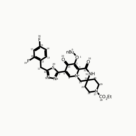 CCCCOc1c2n(cc(-c3nnc(Cc4ccc(F)cc4F)s3)c1=O)CC1(CCN(C(=O)OCC)CC1)NC2=O